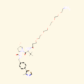 Cc1ncsc1-c1ccc(CNC(=O)[C@@H]2C[C@@H](O)CN2C(=O)C(NC(=O)CCOCCOCCOCCOCCOCCN)C(C)(C)C)cc1